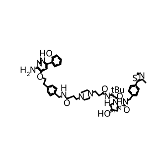 Cc1ncsc1-c1ccc(CNC(=O)[C@@H]2C[C@@H](O)CN2C(=O)[C@@H](NC(=O)CCN2CCN(CCC(=O)NCc3ccc(CCOc4cc(-c5ccccc5O)nnc4N)cc3)CC2)C(C)(C)C)cc1